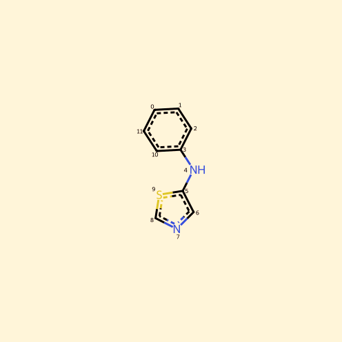 c1ccc(Nc2cncs2)cc1